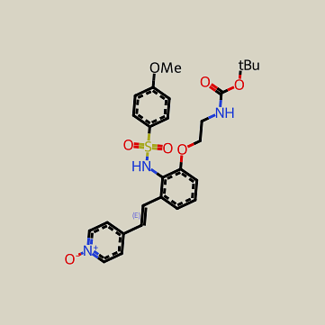 COc1ccc(S(=O)(=O)Nc2c(/C=C/c3cc[n+]([O-])cc3)cccc2OCCNC(=O)OC(C)(C)C)cc1